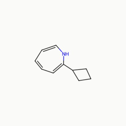 C1=CC=C(C2CCC2)NC=C1